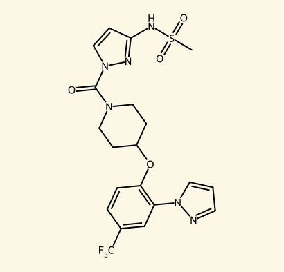 CS(=O)(=O)Nc1ccn(C(=O)N2CCC(Oc3ccc(C(F)(F)F)cc3-n3cccn3)CC2)n1